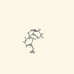 CC(C)CC1=CC=CC(CC(C)C)(c2ccccc2)C1